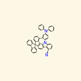 N#Cc1cccc2c1c1ccc3c4c1n2-c1ccc(N(c2ccccc2)c2ccccc2)cc1-c1cccc(c1-4)C31c2ccccc2-c2ccccc21